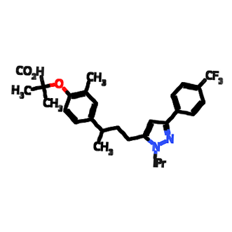 Cc1cc(C(C)CCc2cc(-c3ccc(C(F)(F)F)cc3)nn2C(C)C)ccc1OC(C)(C)C(=O)O